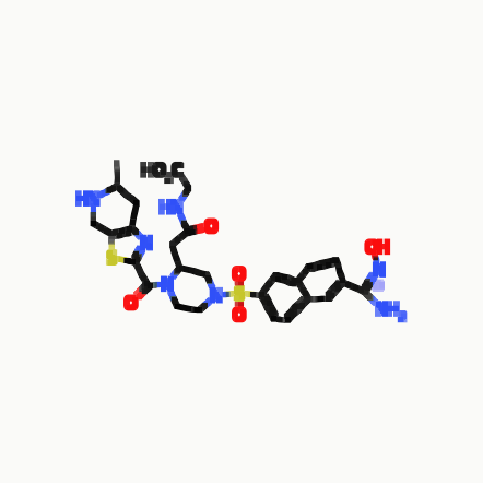 CC1Cc2nc(C(=O)N3CCN(S(=O)(=O)c4ccc5cc(/C(N)=N\O)ccc5c4)CC3CC(=O)NCC(=O)O)sc2CN1